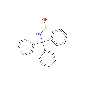 OSNC(c1ccccc1)(c1ccccc1)c1ccccc1